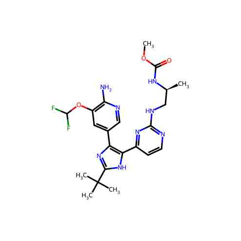 COC(=O)N[C@@H](C)CNc1nccc(-c2[nH]c(C(C)(C)C)nc2-c2cnc(N)c(OC(F)F)c2)n1